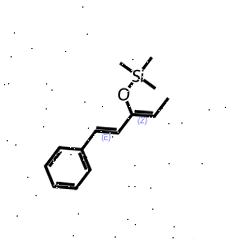 C/C=C(/C=C/c1ccccc1)O[Si](C)(C)C